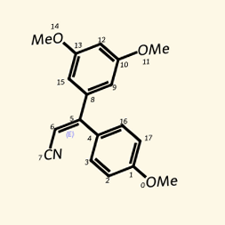 COc1ccc(/C(=C\C#N)c2cc(OC)cc(OC)c2)cc1